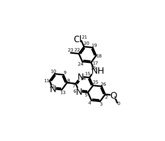 COc1ccc2nc(-c3cccnc3)nc(Nc3ccc(Cl)c(C)c3)c2c1